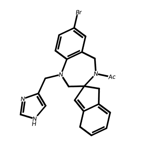 CC(=O)N1Cc2cc(Br)ccc2N(Cc2c[nH]cn2)CC12C=C1CC=CC=C1C2